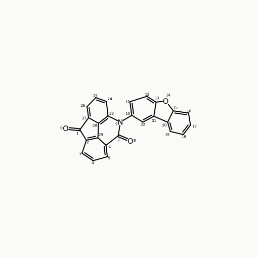 O=c1c2cccc3c(=O)n(-c4ccc5oc6ccccc6c5c4)c4cccc1c4c23